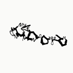 CCn1c(-c2nonc2N)nc2cnc(Oc3cccc(NC(=O)c4cccnc4C)c3)cc21